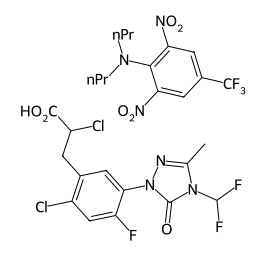 CCCN(CCC)c1c([N+](=O)[O-])cc(C(F)(F)F)cc1[N+](=O)[O-].Cc1nn(-c2cc(CC(Cl)C(=O)O)c(Cl)cc2F)c(=O)n1C(F)F